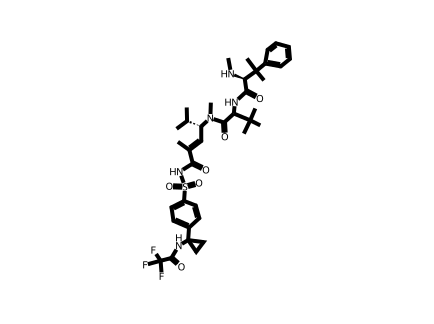 CN[C@H](C(=O)NC(C(=O)N(C)[C@H](/C=C(\C)C(=O)NS(=O)(=O)c1ccc(C2(NC(=O)C(F)(F)F)CC2)cc1)C(C)C)C(C)(C)C)C(C)(C)c1ccccc1